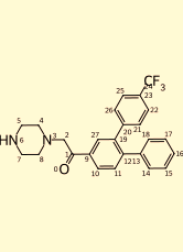 O=C(CN1CCNCC1)c1ccc(-c2ccccc2)c(-c2ccc(C(F)(F)F)cc2)c1